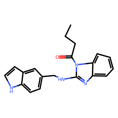 CCCC(=O)n1c(NCc2ccc3[nH]ccc3c2)nc2ccccc21